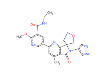 CCNC(=O)c1cc(-c2cc(C)c3c(n2)C2(CCOC2)N(c2cn[nH]c2)C3=O)cnc1OC